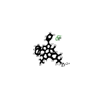 Cc1cc2c(cc1C(C)(C)C)-c1cc(C(C)(C)C)c(C)cc1C2C1(C(C)C)CC(C2CC3C=CC2C3)C2=C1C=C(C13CC4CC(CC(C4)C1)C3)C2.[Cl-].[Cl-].[Zr+2]